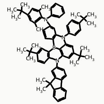 Cc1cc(C(C)(C)C)cc(C)c1N(c1ccccc1)c1ccc2c(c1)N(c1ccc(C(C)(C)C)cc1)c1cc(C(C)(C)C)cc3c1B2c1cc(C(C)(C)C)ccc1N3c1ccc2c(c1)C(C)(C)c1ccccc1-2